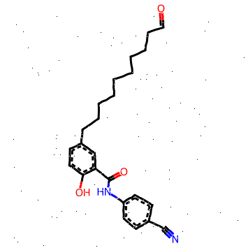 N#Cc1ccc(NC(=O)c2cc(CCCCCCCCCC=O)ccc2O)cc1